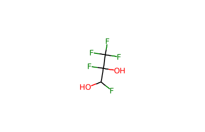 OC(F)C(O)(F)C(F)(F)F